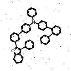 c1ccc(-c2ccccc2-c2ccc(N(c3ccccc3)c3ccc(-c4cccc(-c5oc6ccccc6c5-c5ccccc5)c4)cc3)cc2)cc1